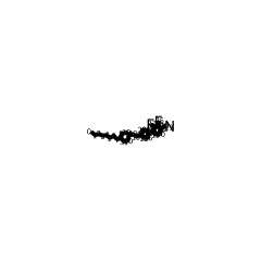 CCCCCCCCC1CCC(CCc2ccc(-c3ccc(C#N)c(F)c3F)cc2)CC1